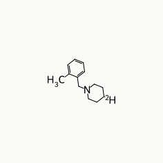 [2H]C1CCN(Cc2ccccc2C)CC1